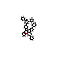 c1ccc(-c2nc(-c3ccccc3)nc(-c3ccc4c5ccccc5n(-c5cc(-c6ccncc6)ccc5-c5nc(-c6ccccc6)nc(-c6ccccc6)n5)c4c3)n2)cc1